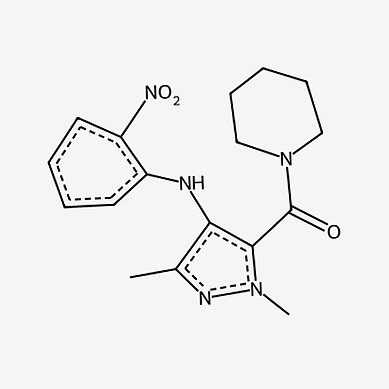 Cc1nn(C)c(C(=O)N2CCCCC2)c1Nc1ccccc1[N+](=O)[O-]